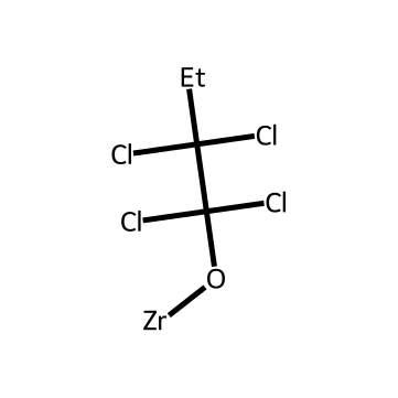 CCC(Cl)(Cl)C(Cl)(Cl)[O][Zr]